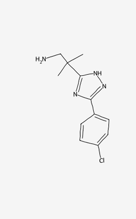 CC(C)(CN)c1nc(-c2ccc(Cl)cc2)n[nH]1